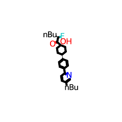 CCCCc1ccc(-c2ccc([C@H]3CC[C@@](O)(C(=O)[C@@H](F)CCCC)CC3)cc2)nc1